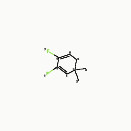 CC1(C)C=C(F)C(F)=CC1